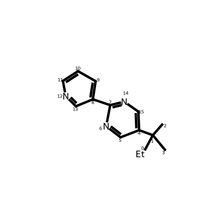 CCC(C)(C)c1cnc(-c2cccnc2)nc1